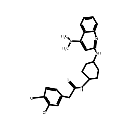 CN(C)c1cc(NC2CCC(NC(=O)Cc3ccc(Cl)c(Cl)c3)CC2)nc2ccccc12